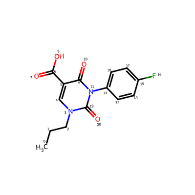 CCCn1cc(C(=O)O)c(=O)n(-c2ccc(F)cc2)c1=O